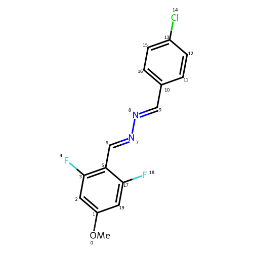 COc1cc(F)c(C=NN=Cc2ccc(Cl)cc2)c(F)c1